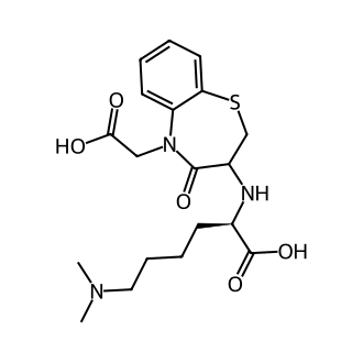 CN(C)CCCC[C@@H](NC1CSc2ccccc2N(CC(=O)O)C1=O)C(=O)O